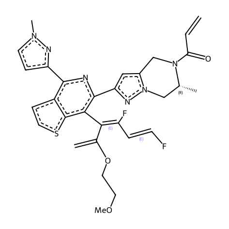 C=CC(=O)N1Cc2cc(-c3nc(-c4ccn(C)n4)c4ccsc4c3/C(C(=C)OCCOC)=C(F)/C=C/F)nn2C[C@H]1C